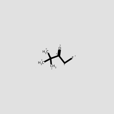 CC(C)(C)C(=O)CF